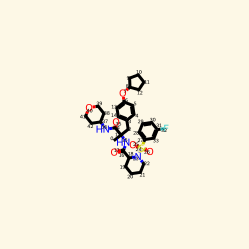 CC(Cc1ccc(OC2CCCC2)cc1)(NC(=O)C1CCCCN1S(=O)(=O)c1cccc(F)c1)C(=O)NC1CCOCC1